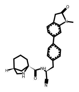 CN1C(=O)Cc2ccc(-c3ccc(C[C@@H](C#N)NC(=O)[C@]45CCC[C@@H](CN4)C5)cc3)cc21